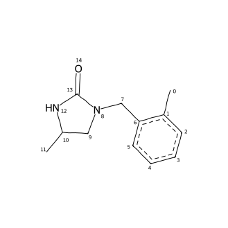 Cc1ccccc1CN1CC(C)NC1=O